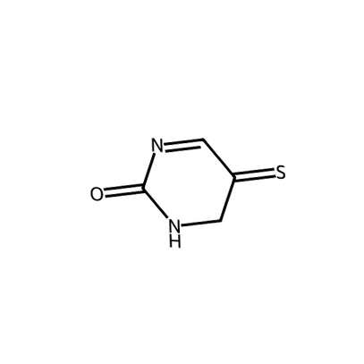 O=C1N=CC(=S)CN1